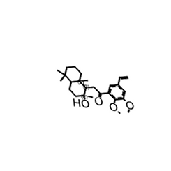 C=Cc1cc(OC)c(OC)c(C(=O)C[C@@H]2[C@@]3(C)CCCC(C)(C)C3CC[C@@]2(C)O)c1